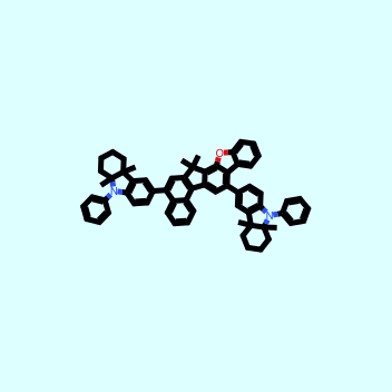 CC1(C)c2cc(-c3ccc4c(c3)C3(C)CCCCC3(C)N4c3ccccc3)c3ccccc3c2-c2cc(-c3ccc4c(c3)C3(C)CCCCC3(C)N4c3ccccc3)c3c(oc4ccccc43)c21